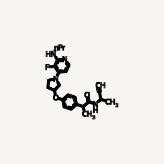 C#CC(C)NC(=O)C(C)c1ccc(OC2CCN(c3ccnc(NCCC)c3F)C2)cc1